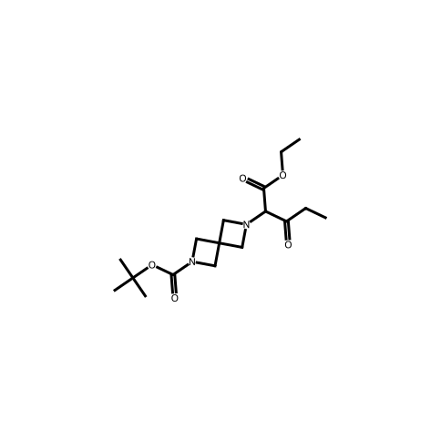 CCOC(=O)C(C(=O)CC)N1CC2(CN(C(=O)OC(C)(C)C)C2)C1